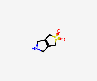 O=S1(=O)CC2=C(CNC2)C1